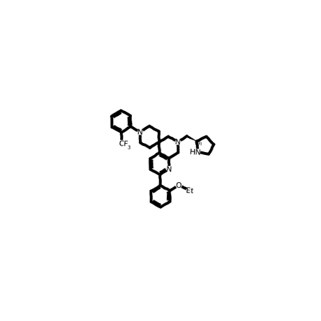 CCOc1ccccc1-c1ccc2c(n1)CN(C[C@H]1CCCN1)CC21CCN(c2ccccc2C(F)(F)F)CC1